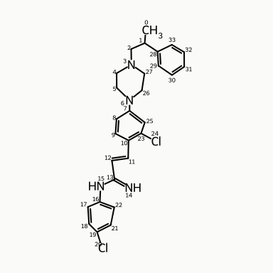 CC(CN1CCN(c2ccc(/C=C/C(=N)Nc3ccc(Cl)cc3)c(Cl)c2)CC1)c1ccccc1